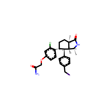 C[C@H]1NC(=O)[C@]2(C)CC[C@@H](c3ccc(OCC(N)=O)cc3Cl)[C@H](c3ccc(CI)cc3)[C@H]12